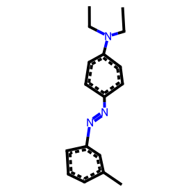 CCN(CC)c1ccc(N=Nc2cccc(C)c2)cc1